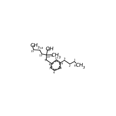 CCCCc1cccc(CC(C)(O)CCCC)c1